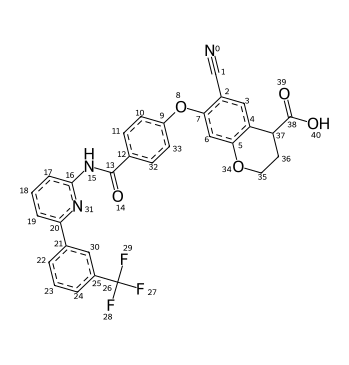 N#Cc1cc2c(cc1Oc1ccc(C(=O)Nc3cccc(-c4cccc(C(F)(F)F)c4)n3)cc1)OCCC2C(=O)O